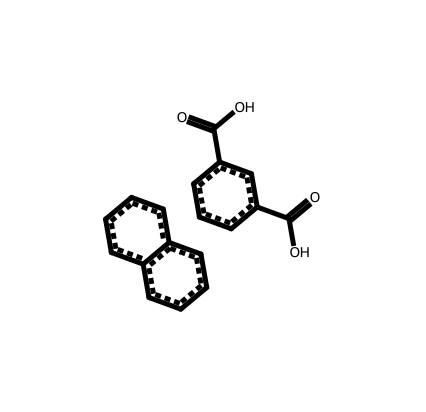 O=C(O)c1cccc(C(=O)O)c1.c1ccc2ccccc2c1